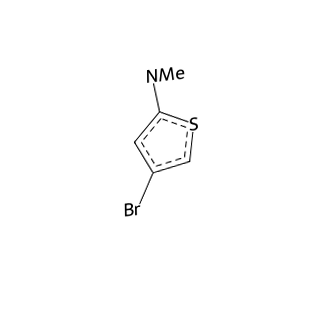 CNc1cc(Br)cs1